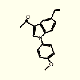 CCc1ccc2c(c1)c(C(C)=O)cn2-c1ccc(OC)cc1